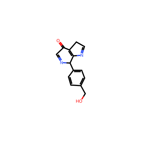 O=C1C=NC(c2ccc(CO)cc2)C2=C1CC=N2